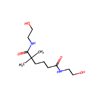 CC(C)(CCCC(=O)NCCO)C(=O)NCCO